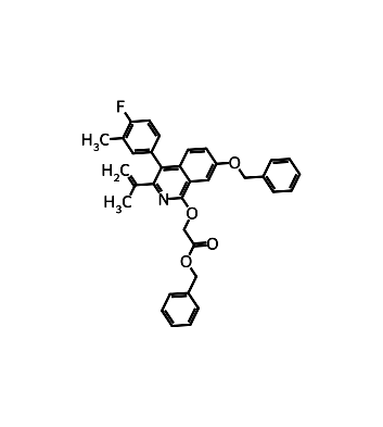 C=C(C)c1nc(OCC(=O)OCc2ccccc2)c2cc(OCc3ccccc3)ccc2c1-c1ccc(F)c(C)c1